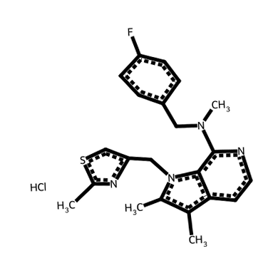 Cc1nc(Cn2c(C)c(C)c3ccnc(N(C)Cc4ccc(F)cc4)c32)cs1.Cl